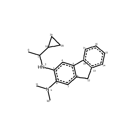 CC(Nc1cc2c(cc1N(C)C)Cc1ccccc1-2)C1CC1